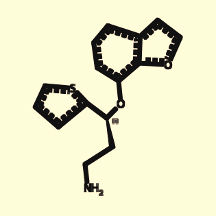 NCC[C@H](Oc1cccc2ccoc12)c1cccs1